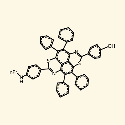 CCCNc1ccc(C2=Nc3c(-c4ccccc4)c(-c4ccccc4)c4c5c(c(-c6ccccc6)c(-c6ccccc6)c(c35)S2)N=C(c2ccc(O)cc2)S4)cc1